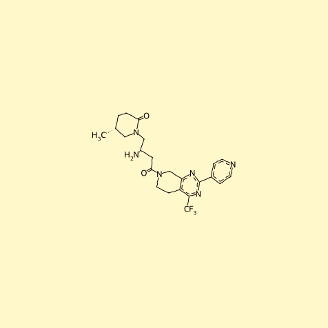 C[C@@H]1CCC(=O)N(C[C@@H](N)CC(=O)N2CCc3c(nc(-c4ccncc4)nc3C(F)(F)F)C2)C1